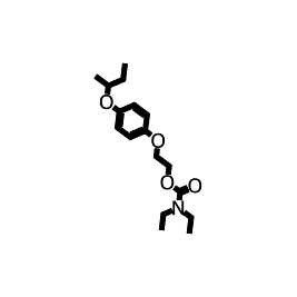 CCC(C)Oc1ccc(OCCOC(=O)N(CC)CC)cc1